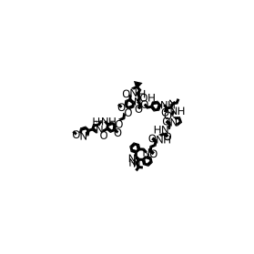 CC[C@H](C)[C@H](NC(=O)[C@@H]1CCCN1C(=O)CNC(=O)CNC(=O)CCC(=O)N1Cc2ccccc2-c2nnn(C(C)C)c2-c2ccccc21)C(=O)Nc1ccc(COC(=O)N2c3cc(OCCCOc4cc5c(cc4OC)C(=O)N4C=C(c6ccc(OC)nc6)C[C@H]4CN5)c(OC)cc3C(=O)N3CC4(CC4)C[C@H]3[C@@H]2O)cc1